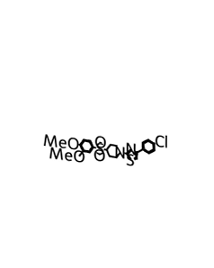 COc1ccc(S(=O)(=O)C2CCN(c3nc(-c4ccc(Cl)cc4)cs3)CC2)cc1OC